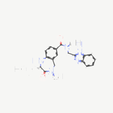 CN(Cc1nc2ccccc2[nH]1)C(=O)c1ccc2c(c1)CN(C)C(=O)[C@H](C(=O)O)N2